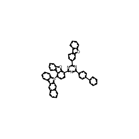 c1ccc(-c2ccc(-c3nc(-c4ccc5c(c4)oc4ccccc45)nc(-c4ccc(-n5c6ccccc6c6cc7ccccc7cc65)c5c4oc4ccccc45)n3)cc2)cc1